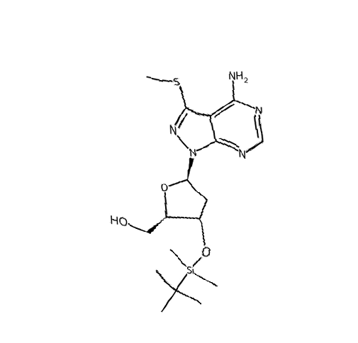 CSc1nn([C@H]2CC(O[Si](C)(C)C(C)(C)C)[C@@H](CO)O2)c2ncnc(N)c12